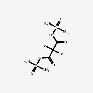 NP(N)(=S)NC(=O)C(Br)(Br)C(=O)NP(N)(N)=S